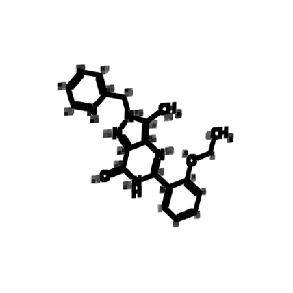 CCOc1ccccc1-c1nc2c(C)n(Cc3ccccn3)nc2c(=O)[nH]1